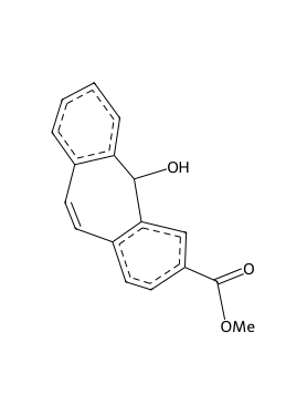 COC(=O)c1ccc2c(c1)C(O)c1ccccc1C=C2